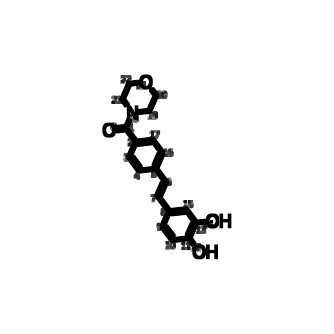 O=C(c1ccc(C=Cc2ccc(O)c(O)c2)cc1)N1CCOCC1